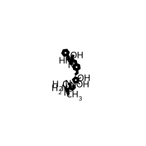 C=Nc1c(/C(N)=N\C)ccn1[C@@H]1C[C@H](CCc2ccc3cc4c(nc3c2)NN(c2ccccc2)C4O)[C@@H](O)[C@H]1O